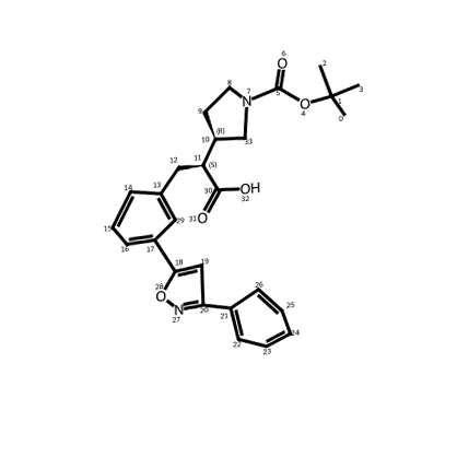 CC(C)(C)OC(=O)N1CC[C@H]([C@H](Cc2cccc(-c3cc(-c4ccccc4)no3)c2)C(=O)O)C1